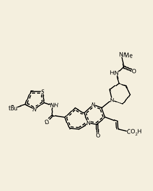 CNC(=O)NC1CCCN(c2nc3cc(C(=O)Nc4nc(C(C)(C)C)cs4)ccn3c(=O)c2C=CC(=O)O)C1